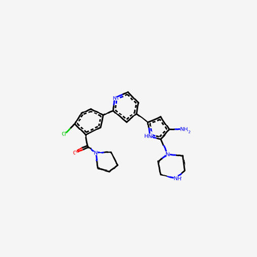 Nc1cc(-c2ccnc(-c3ccc(Cl)c(C(=O)N4CCCC4)c3)c2)[nH]c1N1CCNCC1